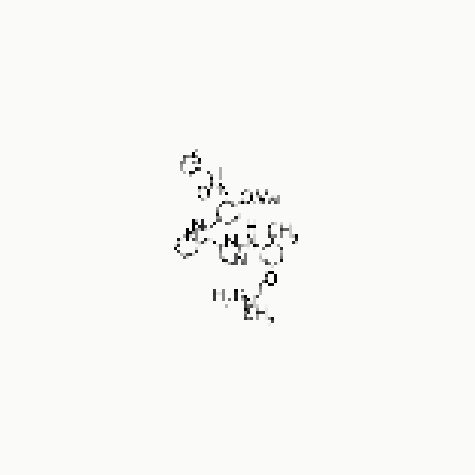 COc1ccc(-c2nn3ccccc3c2-c2ccnc(Nc3cc(OCCN(C)C)ccc3C)n2)cc1NC(=O)Cc1cccs1